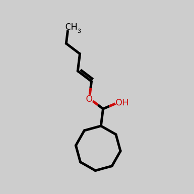 CCCC=COC(O)C1CCCCCCC1